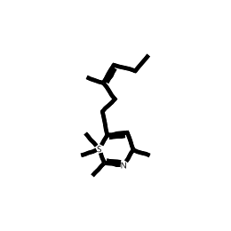 CC/C=C(/C)CCC1=CC(C)N=C(C)S1(C)C